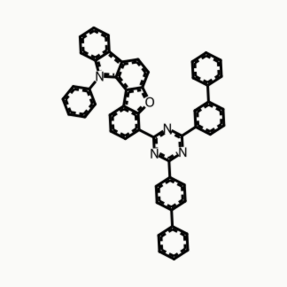 c1ccc(-c2ccc(-c3nc(-c4cccc(-c5ccccc5)c4)nc(-c4cccc5c4oc4ccc6c7ccccc7n(-c7ccccc7)c6c45)n3)cc2)cc1